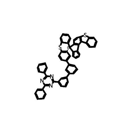 c1ccc(-c2nc(-c3ccccc3)nc(-c3cccc(-c4cccc(-c5ccc6c(c5)[C@@]5(c7ccccc7S6)c6ccccc6-c6c5ccc5sc7ccccc7c65)c4)c3)n2)cc1